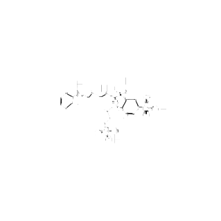 CC1(C)C(/C=C/C=C/Nc2ccccc2)=[N+](CCCS(=O)(=O)O)c2ccc(S(=O)(=O)O)cc21